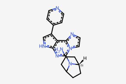 NC1CC2CC[C@@H](C1)N2c1nc2[nH]cc(-c3ccncc3)c2c2nccn12